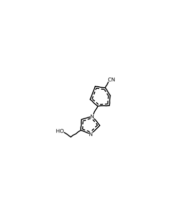 N#Cc1ccc(-n2cnc(CO)c2)cc1